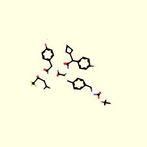 COc1ccc([C@H](NC(=O)[C@H](Cc2ccc(CNC(=O)OC(C)(C)C)cc2)NC(=O)C(c2ccc(Cl)cc2)C2CCC2)C(=O)N[C@H](C(=O)C(F)(F)F)C(C)C)cc1